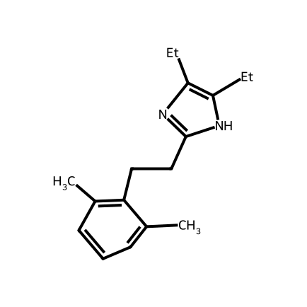 CCc1nc(CCc2c(C)cccc2C)[nH]c1CC